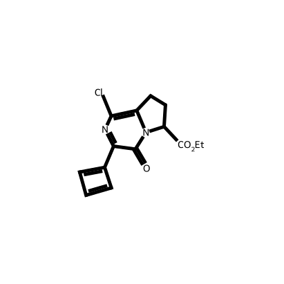 CCOC(=O)C1CCc2c(Cl)nc(C3=CC=C3)c(=O)n21